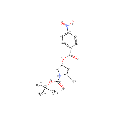 CC1CC(OC(=O)c2ccc([N+](=O)[O-])cc2)CN1C(=O)OC(C)(C)C